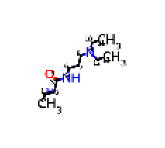 C/C=C/C(=O)NCCCN(CC)CC